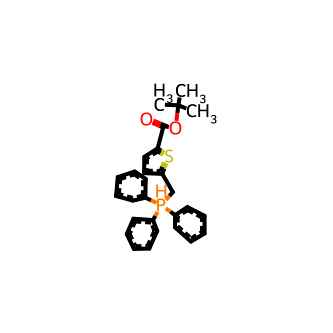 CC(C)(C)OC(=O)c1ccc(C[PH](c2ccccc2)(c2ccccc2)c2ccccc2)s1